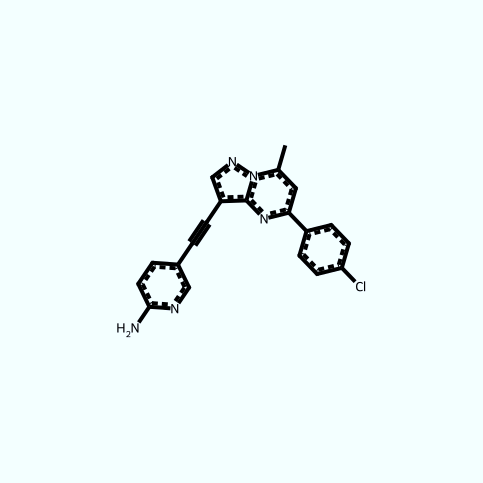 Cc1cc(-c2ccc(Cl)cc2)nc2c(C#Cc3ccc(N)nc3)cnn12